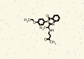 CCOc1ccc(-n2c(C(C)NCCC(C)=O)nc3ccccc3c2=O)cc1